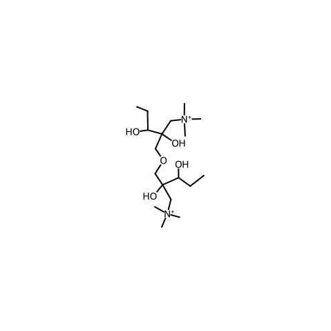 CCC(O)C(O)(COCC(O)(C[N+](C)(C)C)C(O)CC)C[N+](C)(C)C